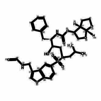 CC(C)CN(C[C@@H](O)[C@H](Cc1ccccc1)NC(=O)OC1CO[C@H]2OCC[C@@H]12)S(=O)(=O)c1ccc2occ(CNC=O)c2c1